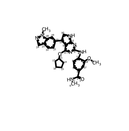 CNC(=O)c1ccc(Nc2nc(OC3CCCC3)c3c(-c4ccc5cnn(C)c5c4)c[nH]c3n2)c(OC)c1